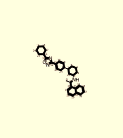 C[C@@H](N[C@H]1CCC[C@H](C2C=CC(c3noc(C4CCCCC4)n3)=CC2)C1)c1cccc2ccccc12